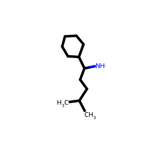 CC(C)CCC([NH])C1CCCCC1